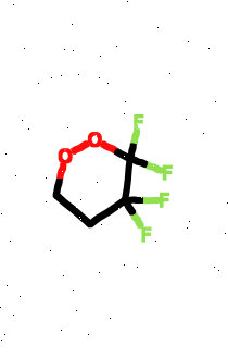 FC1(F)CCOOC1(F)F